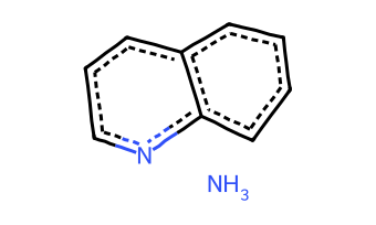 N.c1ccc2ncccc2c1